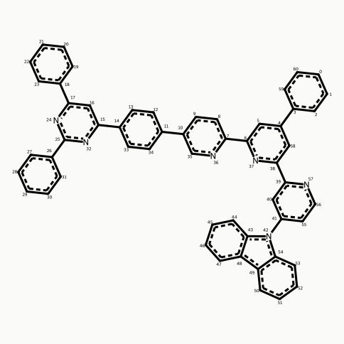 c1ccc(-c2cc(-c3ccc(-c4ccc(-c5cc(-c6ccccc6)nc(-c6ccccc6)n5)cc4)cn3)nc(-c3cc(-n4c5ccccc5c5ccccc54)ccn3)c2)cc1